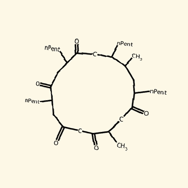 CCCCCC1CC(=O)CC(=O)C(C)CC(=O)C(CCCCC)CC(C)C(CCCCC)CC(=O)C(CCCCC)CC1=O